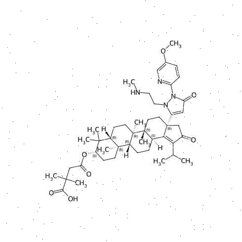 CNCCn1c([C@@]23CC[C@]4(C)[C@H](CC[C@@H]5[C@@]6(C)CC[C@H](OC(=O)CC(C)(C)C(=O)O)C(C)(C)[C@@H]6CC[C@]54C)C2=C(C(C)C)C(=O)C3)cc(=O)n1-c1ccc(OC)cn1